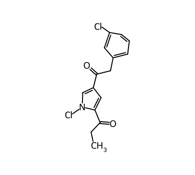 CCC(=O)c1cc(C(=O)Cc2cccc(Cl)c2)cn1Cl